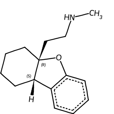 CNCC[C@]12CCCC[C@H]1c1ccccc1O2